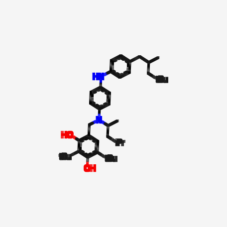 CC(C)CC(C)N(Cc1cc(C(C)(C)C)c(O)c(C(C)(C)C)c1O)c1ccc(Nc2ccc(CC(C)CC(C)(C)C)cc2)cc1